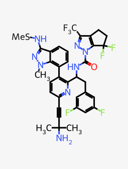 CSNc1nn(C)c2c(-c3ccc(C#CC(C)(C)N)nc3C(Cc3cc(F)cc(F)c3)NC(=O)n3nc(C(F)(F)F)c4c3C(F)(F)CC4)cccc12